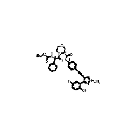 Cn1cc(C#Cc2ccc(NC(=O)[C@@H]3COCCN3C(=O)[C@H](NC(=O)OC(C)(C)C)c3ccccc3)cc2)c(-c2cc(F)ccc2O)n1